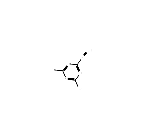 N=Bc1n[c]([Na])nc(Cl)n1